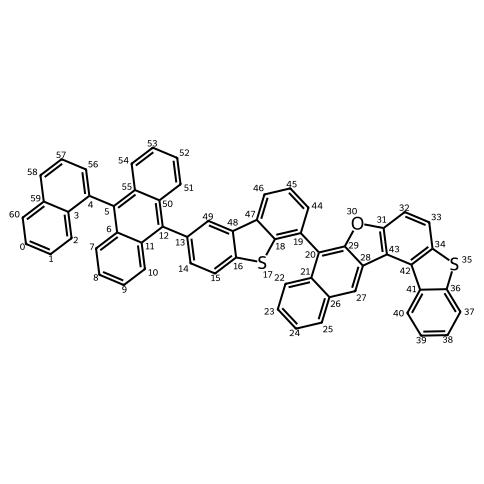 c1ccc2c(-c3c4ccccc4c(-c4ccc5sc6c(-c7c8ccccc8cc8c7oc7ccc9sc%10ccccc%10c9c78)cccc6c5c4)c4ccccc34)cccc2c1